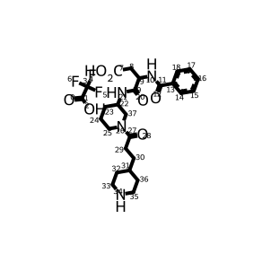 O=C(O)C(F)(F)F.O=C(O)CC(NC(=O)c1ccccc1)C(=O)NC1CCCN(C(=O)CCC2CCNCC2)C1